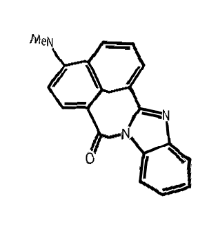 CNc1ccc2c(=O)n3c4ccccc4nc3c3cccc1c23